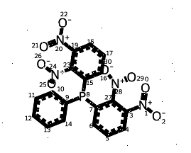 O=[N+]([O-])c1cccc(P(c2ccccc2)c2cccc([N+](=O)[O-])c2[N+](=O)[O-])c1[N+](=O)[O-]